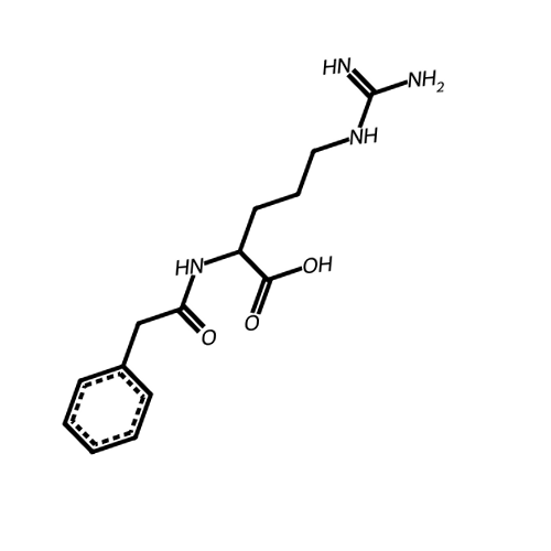 N=C(N)NCCCC(NC(=O)Cc1ccccc1)C(=O)O